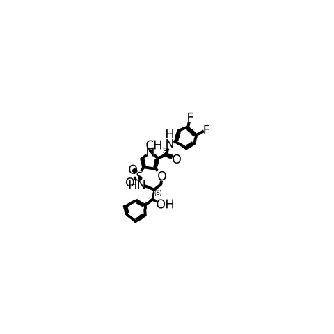 Cn1cc2c(c1C(=O)Nc1ccc(F)c(F)c1)OC[C@@H](C(O)c1ccccc1)NS2(=O)=O